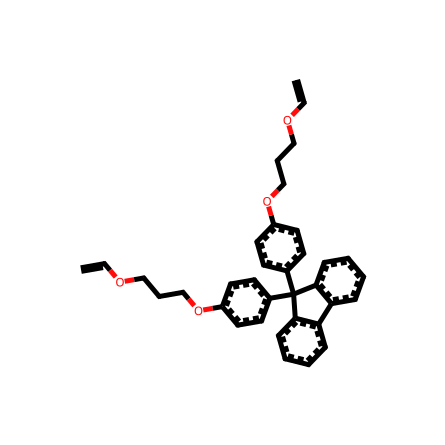 C=COCCCOc1ccc(C2(c3ccc(OCCCOC=C)cc3)c3ccccc3-c3ccccc32)cc1